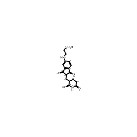 O=C(O)CCNc1ccc2c(c1)C(=O)C(CC1CCC(=O)NC1=O)C2=O